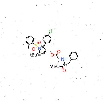 COC(=O)[C@H](Cc1ccccc1)NCC(=O)OCC1=C[C@@H](C(C)(C)C)N(S(=O)(=O)c2ccccc2C)[C@H]1c1ccc(Cl)cc1